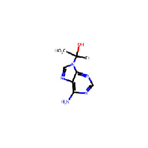 CCC(O)(C(=O)O)n1cnc2c(N)ncnc21